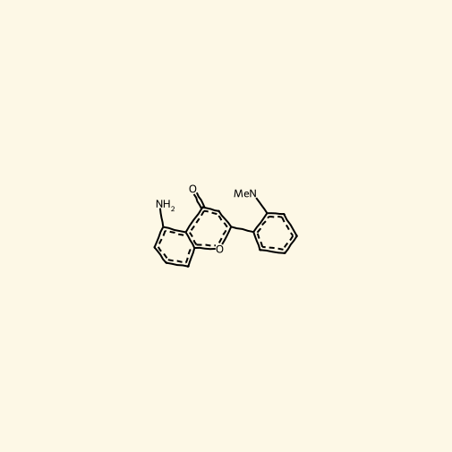 CNc1ccccc1-c1cc(=O)c2c(N)cccc2o1